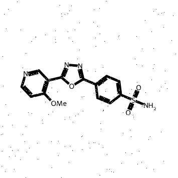 COc1ccncc1-c1nnc(-c2ccc(S(N)(=O)=O)cc2)o1